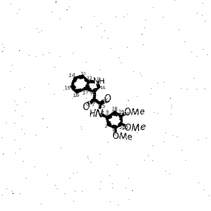 COc1cc(NC(=O)C(=O)c2c[nH]c3ccccc23)cc(OC)c1OC